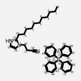 CCCCCCCCCCCc1[nH+]ccn1CCC#N.c1ccc([B-](c2ccccc2)(c2ccccc2)c2ccccc2)cc1